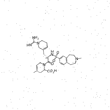 CC1=CCN(C(=O)[C@H](CC2=CCCN(C(=N)N)C2)NS(=O)(=O)c2ccc3c(c2)CCN(C)CC3)C(C(=O)O)C1